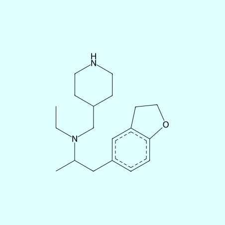 CCN(CC1CCNCC1)C(C)Cc1ccc2c(c1)CCO2